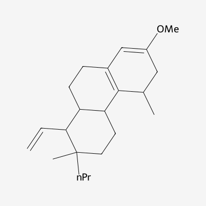 C=CC1C2CCC3=C(C(C)CC(OC)=C3)C2CCC1(C)CCC